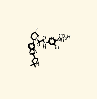 CCc1cc(NC(=O)C(=O)N2C[C@@H](C)CC[C@@H]2c2ccc3sc(C4CN(C)C(C)(C)C4)nc3c2)cnc1NC(=O)O